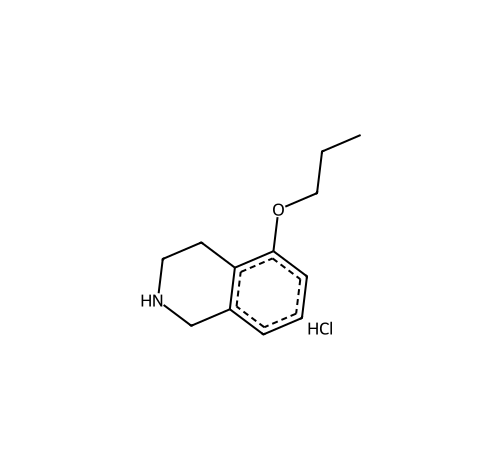 CCCOc1cccc2c1CCNC2.Cl